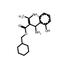 C/C(N)=C(\C(=O)OCC1CCCCC1)C(N)c1ccccc1O